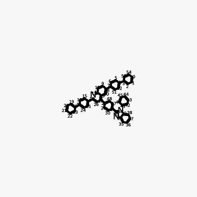 c1ccc(-c2ccc(-c3ccc4nc(-c5ccc(-c6ccccc6)cc5)cc(-c5ccc(-c6nc7ccccc7n6-c6ccccc6)cc5)c4c3)cc2)cc1